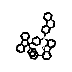 c1ccc(-c2cccc3c2oc2c(N(c4ccc(C5(c6ccccc6)c6ccccc6-c6ccccc65)cc4)c4ccc5c(ccc6ccccc65)c4)cccc23)cc1